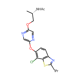 CC(=O)N[C@@H](C)COc1cnc(Oc2ccc3nc(C(C)C)sc3c2Cl)cn1